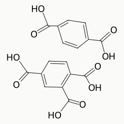 O=C(O)c1ccc(C(=O)O)c(C(=O)O)c1.O=C(O)c1ccc(C(=O)O)cc1